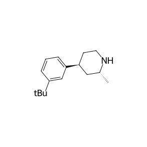 C[C@@H]1C[C@@H](c2cccc(C(C)(C)C)c2)CCN1